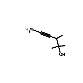 CC(C#C[SiH3])C(C)(C)O